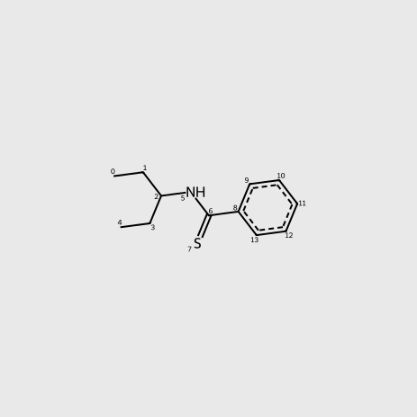 CCC(CC)NC(=S)c1ccccc1